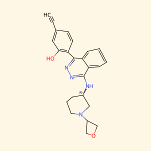 C#Cc1ccc(-c2nnc(N[C@@H]3CCCN(C4COC4)C3)c3ccccc23)c(O)c1